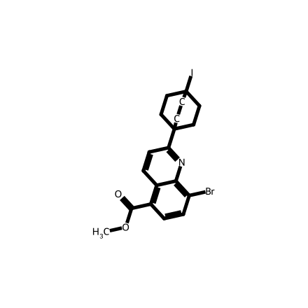 COC(=O)c1ccc(Br)c2nc(C34CCC(I)(CC3)CC4)ccc12